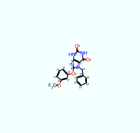 O=c1[nH]c(=O)c2c(nc(Oc3cccc(OC(F)(F)F)c3)n2Cc2ccccc2)[nH]1